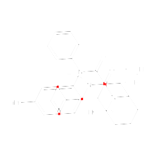 CC(C)c1ccc(CN(C)C(=O)N2[C@H]3CCC[C@@H]2[C@@H](C(=O)O)N(C(=O)N(c2ccccc2)c2ccccc2)C3)cc1